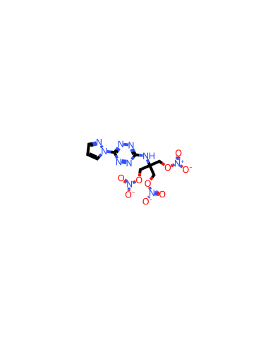 O=[N+]([O-])OCC(CO[N+](=O)[O-])(CO[N+](=O)[O-])Nc1nnc(-n2cccn2)nn1